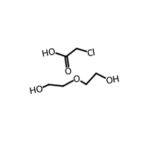 O=C(O)CCl.OCCOCCO